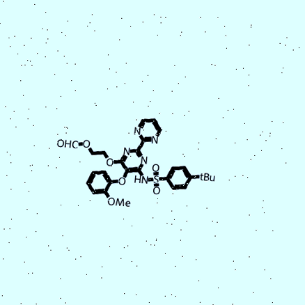 COc1ccccc1Oc1c(NS(=O)(=O)c2ccc(C(C)(C)C)cc2)nc(-c2ncccn2)nc1OCCOC=O